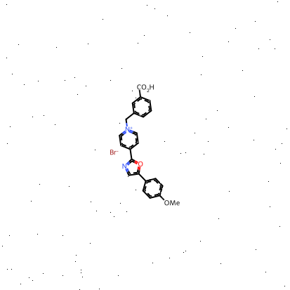 COc1ccc(-c2cnc(-c3cc[n+](Cc4cccc(C(=O)O)c4)cc3)o2)cc1.[Br-]